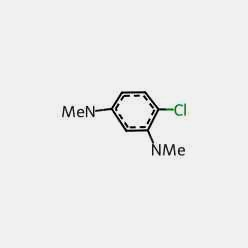 CNc1ccc(Cl)c(NC)c1